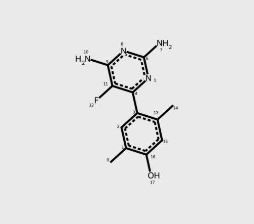 Cc1cc(-c2nc(N)nc(N)c2F)c(C)cc1O